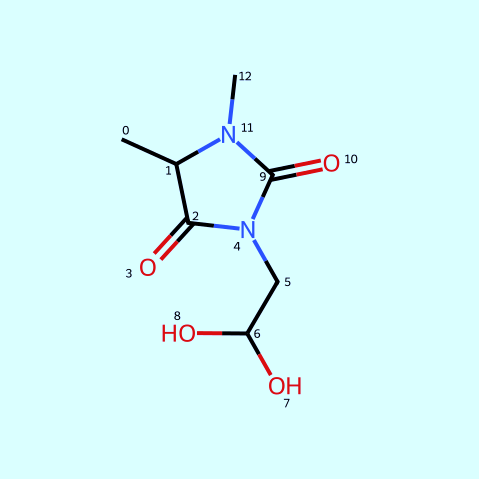 CC1C(=O)N(CC(O)O)C(=O)N1C